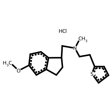 COc1ccc2c(c1)CCC2CN(C)CCc1cccs1.Cl